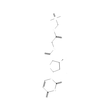 O=C(CNC(=O)[C@H]1O[C@@H](n2ccc(=O)[nH]c2=O)[C@@H](O)[C@@H]1O)NCP(=O)(O)O